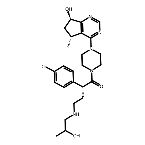 CC(O)CNCC[C@@H](C(=O)N1CCN(c2ncnc3c2[C@H](C)C[C@H]3O)CC1)c1ccc(Cl)cc1